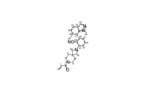 C=CC(=O)N1CCC2(CC1)CN(c1cccc(-c3c(C)ccc4cnn(C)c34)c1C#N)C2